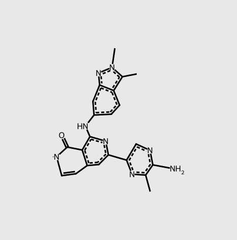 Cc1nc(-c2cc3c(c(Nc4ccc5c(C)n(C)nc5c4)n2)C(=O)[N]C=C3)cnc1N